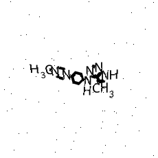 Cc1c[nH]c2ncnc(NC3CCC(N4CCN(C)CC4)CC3)c12